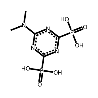 CN(C)c1nc(P(=O)(O)O)nc(P(=O)(O)O)n1